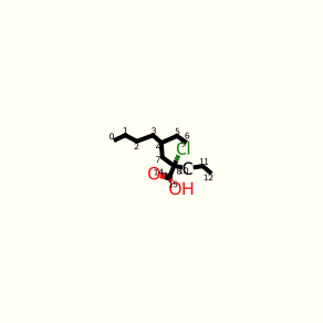 CCCCC(CC)CC(Cl)(CCC)C(=O)O